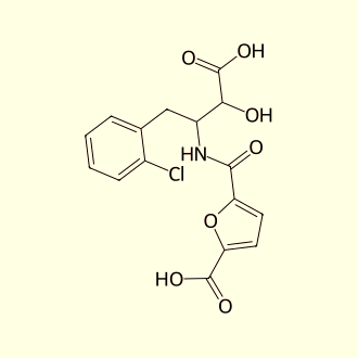 O=C(O)c1ccc(C(=O)NC(Cc2ccccc2Cl)C(O)C(=O)O)o1